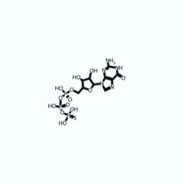 Nc1nc2c(ncn2C2OC(COP(=O)(O)OP(=O)(O)OP(O)(O)=S)C(O)C2O)c(=O)[nH]1